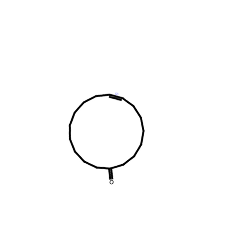 O=C1CCCCCC/C=C\CCCCCCCC1